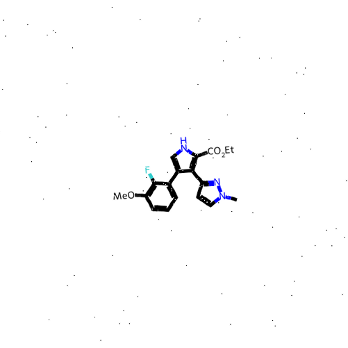 CCOC(=O)c1[nH]cc(-c2cccc(OC)c2F)c1-c1ccn(C)n1